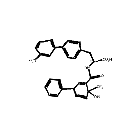 O=C(N[C@@H](Cc1ccc(-c2cccc([N+](=O)[O-])c2)cc1)C(=O)O)C1=CC(c2ccccc2)C=CC1(O)C(F)(F)F